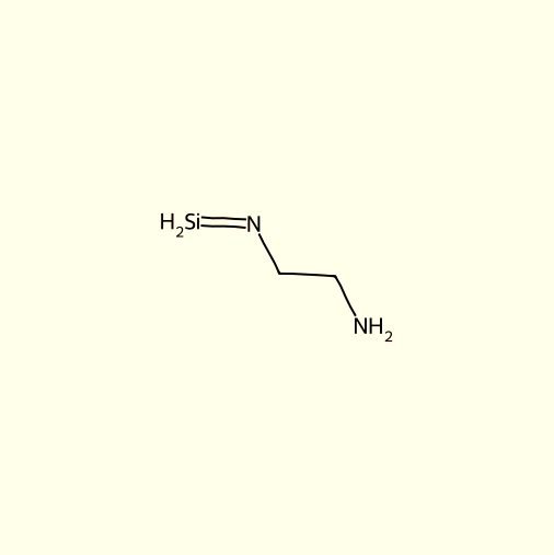 NCCN=[SiH2]